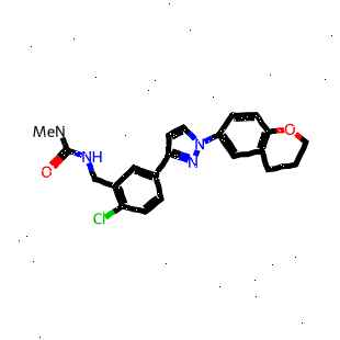 CNC(=O)NCc1cc(-c2ccn(-c3ccc4c(c3)CCCO4)n2)ccc1Cl